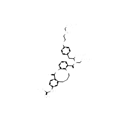 N=C(N)Nc1ccc2c(c1)CCCOc1c(cccc1C(=O)N(CC(=O)O)C(Cc1ccc(OCCNCC(=O)O)cc1)C(=O)O)OC2=O